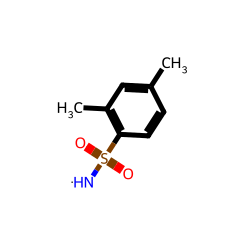 Cc1ccc(S([NH])(=O)=O)c(C)c1